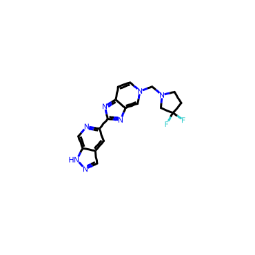 FC1(F)CCN(Cn2ccc3nc(-c4cc5cn[nH]c5cn4)nc-3c2)C1